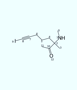 CNC(C)(CCCC#CI)C(C)=O